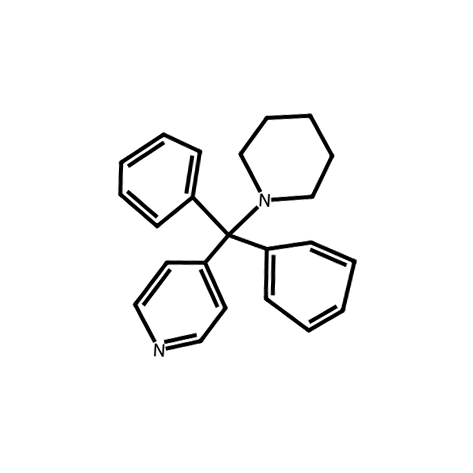 c1ccc(C(c2ccccc2)(c2ccncc2)N2CCCCC2)cc1